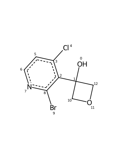 OC1(c2c(Cl)ccnc2Br)COC1